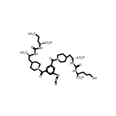 [N-]=[N+]=Nc1cc(C(=O)N2CCC(C[C@H](NC(=O)N[C@@H](CCC(=O)O)C(=O)O)C(=O)O)CC2)cc(C(=O)N2CCC(C[C@@H](NC(=O)NC(CCCO)C(=O)O)C(=O)O)CC2)c1